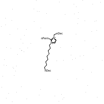 CCCCCCCCCCCCCCCCCCCn1cc[n+](CCCCCCCCCCC)c1CCCCC